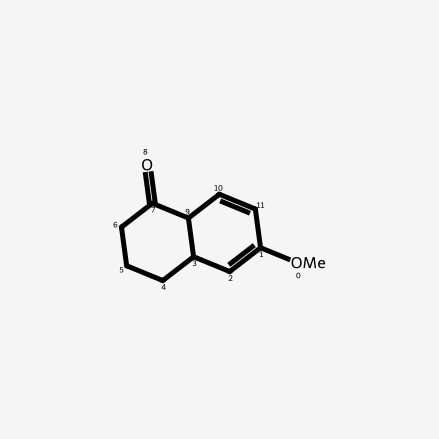 COC1=CC2CCCC(=O)C2C=C1